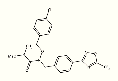 COC(C)C(=O)N(Cc1ccc(-c2noc(C(F)(F)F)n2)cc1)OCc1ccc(Cl)cc1